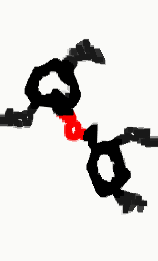 COc1cc(C(C)C)ccc1COc1cc(C(C)(C)C)ccc1OC